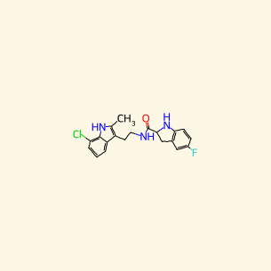 Cc1[nH]c2c(Cl)cccc2c1CCNC(=O)C1Cc2cc(F)ccc2N1